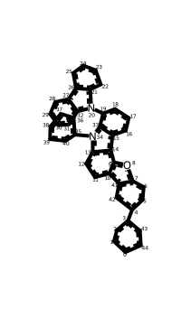 c1ccc(-c2ccc3oc4c(ccc5c4c4cccc(-n6c7ccccc7c7ccccc76)c4n5-c4ccccc4)c3c2)cc1